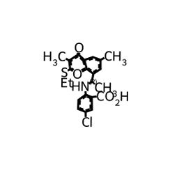 CCSc1oc2c([C@@H](C)Nc3ccc(Cl)cc3C(=O)O)cc(C)cc2c(=O)c1C